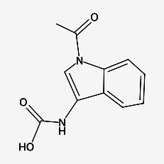 CC(=O)n1cc(NC(=O)O)c2ccccc21